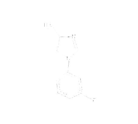 CC1CN(c2cccc(F)c2)C=N1